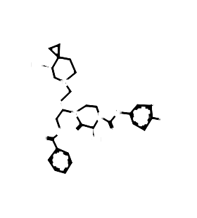 C[C@H]1C(=O)N([C@@H](CCN2CCC3(CC3)[C@H](O)C2)COC(=O)c2ccccc2)CCN1C(=O)Nc1ccc(Cl)c(Cl)c1